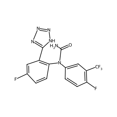 NC(=O)N(c1ccc(F)c(C(F)(F)F)c1)c1ccc(F)cc1-c1nnn[nH]1